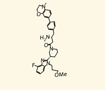 COCCCn1c([C@@H]2CCCN(C(=O)C[C@H](N)Cc3ccc(-c4ccc5c(c4)OCCN5C)cc3)C2)nc2c(F)cccc21